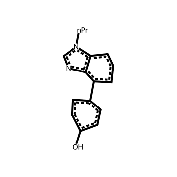 CCCn1cnc2c(-c3ccc(O)cc3)cccc21